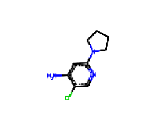 Nc1cc(N2CCCC2)ncc1Cl